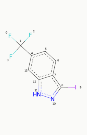 FC(F)(F)c1ccc2c(I)n[nH]c2c1